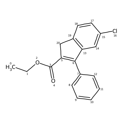 CCOC(=O)C1=C(c2ccccc2)c2cc(Cl)ccc2C1